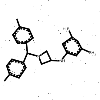 Bc1cc(B)cc(NC2CN(C(c3ccc(C)cc3)c3ccc(C)cc3)C2)c1